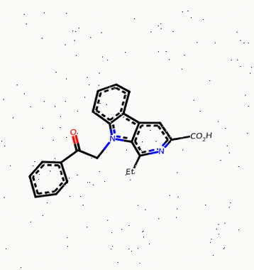 CCc1nc(C(=O)O)cc2c3ccccc3n(CC(=O)c3ccccc3)c12